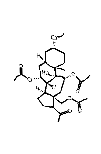 CO[C@@H]1CC[C@@]2(C)[C@@H](C1)C[C@@H](OC(C)=O)[C@H]1[C@@H]3CC[C@H](C(C)=O)[C@@]3(COC(C)=O)C[C@@H](OC(C)=O)[C@@]12O